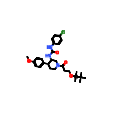 COc1ccc([C@@H]2CCN(C(=O)CCO[Si](C)(C)C(C)(C)C)C[C@H]2NC(=O)Nc2ccc(Cl)cc2)cc1